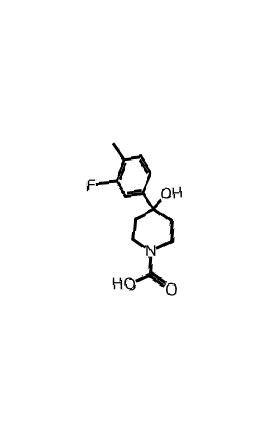 Cc1ccc(C2(O)CCN(C(=O)O)CC2)cc1F